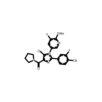 COc1ncc(-n2c(-c3ccc(C#N)c(F)c3)nc(C(=O)N3CCCC3)c2Cl)cc1F